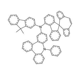 CC1(C)c2ccccc2-c2ccc(N(c3ccc4c(c3)-c3ccccc3-c3ccccc3N4c3ccccc3)c3cccc4c3-c3ccccc3C43c4ccccc4C=Cc4ccccc43)cc21